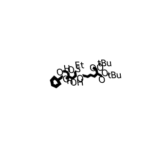 CCS[C@@H]1O[C@@H]2COC(c3ccccc3)O[C@@H]2[C@H](O)[C@H]1OCCCCC(C(=O)OC(C)(C)C)C(=O)OC(C)(C)C